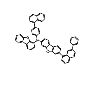 c1ccc(-c2ccc3cccc(-c4ccc5c(c4)oc4cc(N(c6ccc(-c7cccc8ccccc78)cc6)c6cccc7c6sc6ccccc67)ccc45)c3c2)cc1